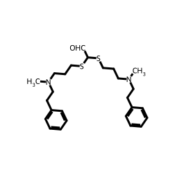 CN(CCCSC(C=O)SCCCN(C)CCc1ccccc1)CCc1ccccc1